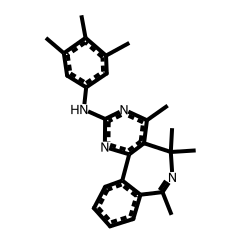 CC1=NC(C)(C)c2c(C)nc(Nc3cc(C)c(C)c(C)c3)nc2-c2ccccc21